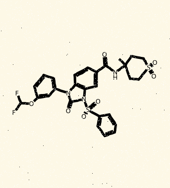 CC1(NC(=O)c2ccc3c(c2)n(S(=O)(=O)c2ccccc2)c(=O)n3-c2cccc(OC(F)F)c2)CCS(=O)(=O)CC1